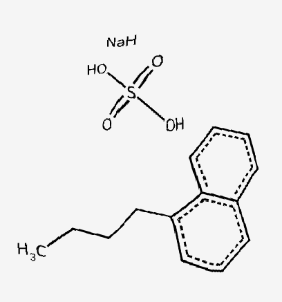 CCCCc1cccc2ccccc12.O=S(=O)(O)O.[NaH]